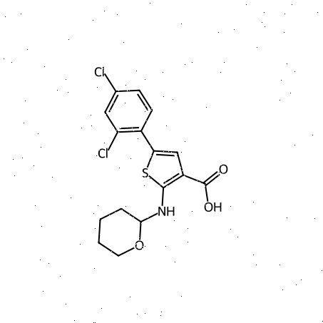 O=C(O)c1cc(-c2ccc(Cl)cc2Cl)sc1NC1CCCCO1